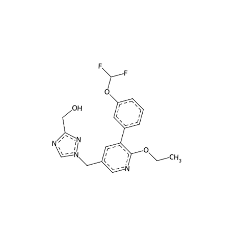 CCOc1ncc(Cn2cnc(CO)n2)cc1-c1cccc(OC(F)F)c1